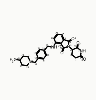 O=C1CCC(N2C(=O)c3cccc(NCc4ccc(CN5CCC(C(F)(F)F)CC5)cc4)c3C2=O)C(=O)N1